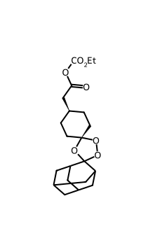 CCOC(=O)OC(=O)C[C@H]1CC[C@@]2(CC1)OOC1(O2)C2CC3CC(C2)CC1C3